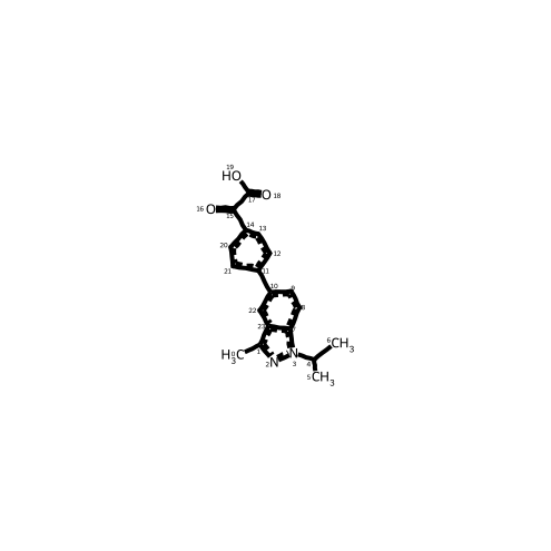 Cc1nn(C(C)C)c2ccc(-c3ccc(C(=O)C(=O)O)cc3)cc12